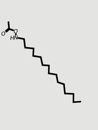 CCCCCCCCCCCCCCCNOC(C)=O